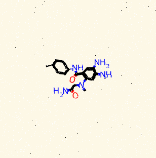 CNc1cc(N(C)CC(N)=O)c(C(=O)N[C@H]2CC[C@H](C)CC2)cc1N